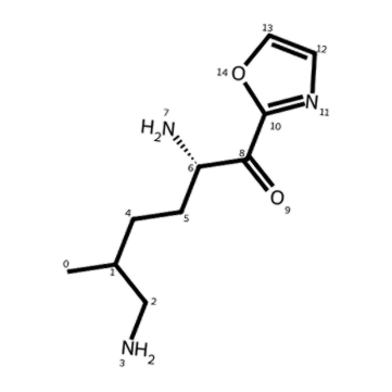 CC(CN)CC[C@H](N)C(=O)c1ncco1